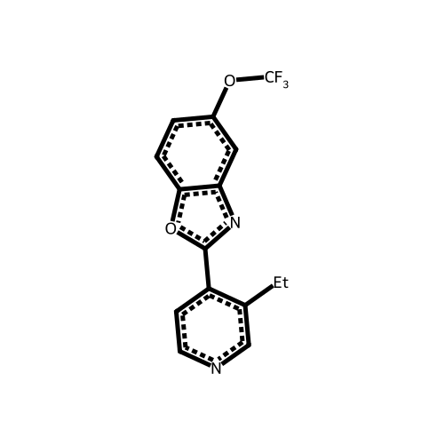 CCc1cnccc1-c1nc2cc(OC(F)(F)F)ccc2o1